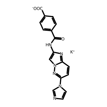 O=C([O-])c1ccc(C(=O)Nc2cn3nc(-n4ccnc4)ccc3n2)cc1.[K+]